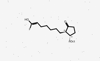 CCCCCCCC[C@H]1CCC(=O)[C@@H]1CCCCCC=C(O)F